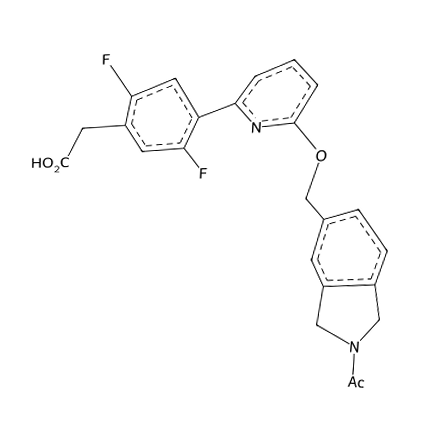 CC(=O)N1Cc2ccc(COc3cccc(-c4cc(F)c(CC(=O)O)cc4F)n3)cc2C1